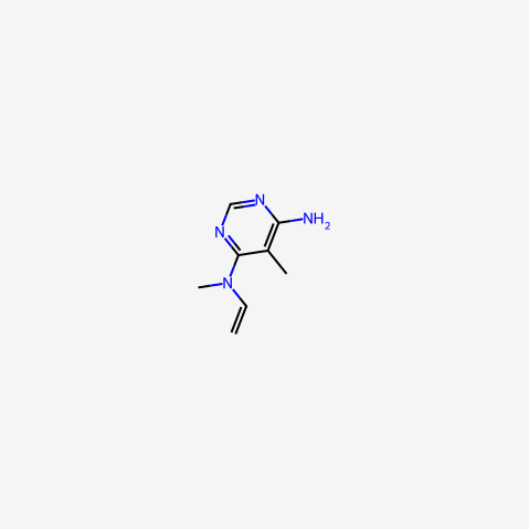 C=CN(C)c1ncnc(N)c1C